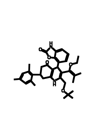 CCOC(=C(C)C)C1=C(COC(C)(C)C)NC2=C(C(=O)CC(c3c(C)cc(C)cc3C)C2)C1c1cccc2[nH]c(=O)oc12